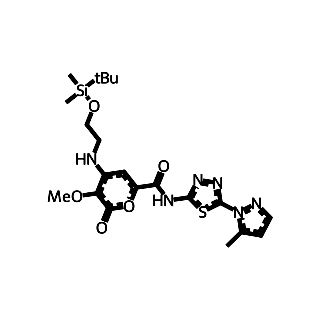 COc1c(NCCO[Si](C)(C)C(C)(C)C)cc(C(=O)Nc2nnc(-n3nccc3C)s2)oc1=O